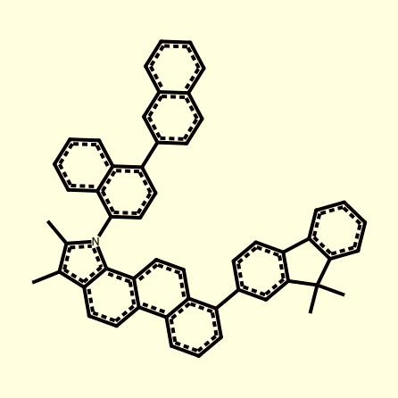 Cc1c(C)n(-c2ccc(-c3ccc4ccccc4c3)c3ccccc23)c2c1ccc1c3cccc(-c4ccc5c(c4)C(C)(C)c4ccccc4-5)c3ccc12